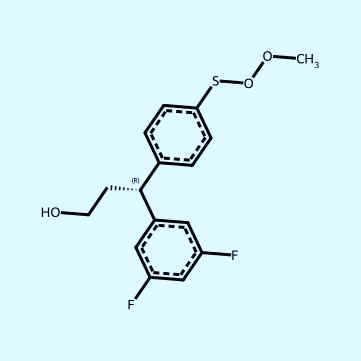 COOSc1ccc([C@@H](CCO)c2cc(F)cc(F)c2)cc1